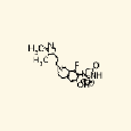 Cc1c(CCN2CCc3cc(O)c(N4CC(=O)NS4(=O)=O)c(F)c3C2)cnn1C